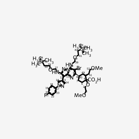 COCCO[C@]1(C(=O)O)CC[C@@H](c2nc3c(-c4cnn(-c5ccc(F)cc5)c4)c(NCOCC[Si](C)(C)C)nn3c(NCOCC[Si](C)(C)C)c2Br)CC1CCOC